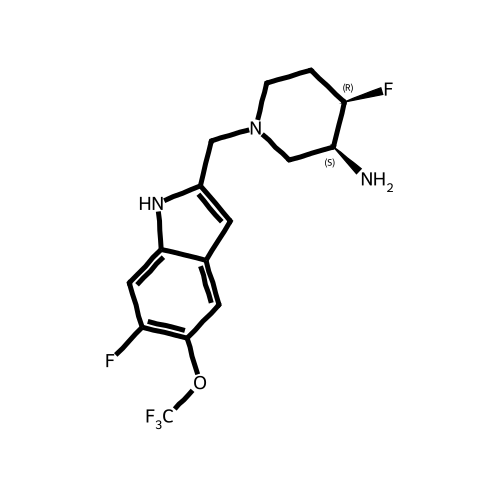 N[C@H]1CN(Cc2cc3cc(OC(F)(F)F)c(F)cc3[nH]2)CC[C@H]1F